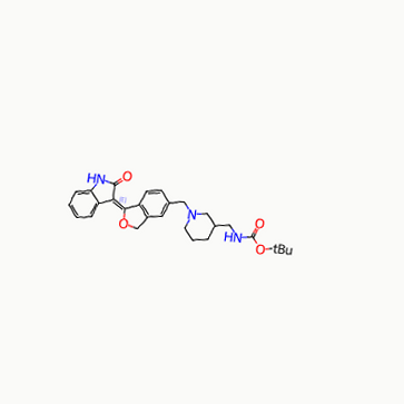 CC(C)(C)OC(=O)NCC1CCCN(Cc2ccc3c(c2)CO/C3=C2/C(=O)Nc3ccccc32)C1